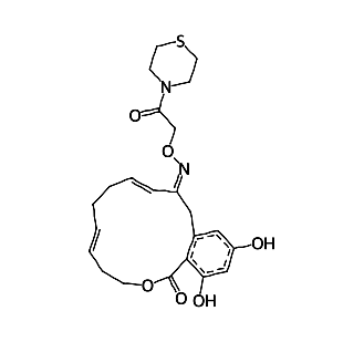 O=C1OCC/C=C/CC/C=C/C(=N\OCC(=O)N2CCSCC2)Cc2cc(O)cc(O)c21